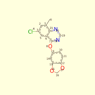 Cc1cc(Cl)cc2c(Oc3ccc4c(c3)OCO4)ncnc12